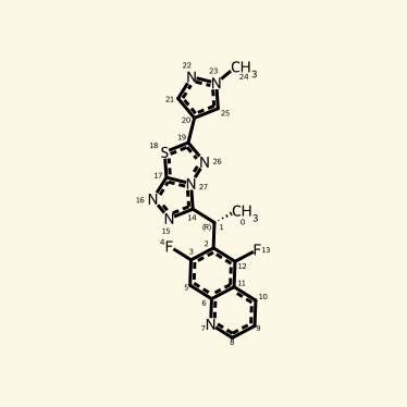 C[C@H](c1c(F)cc2ncccc2c1F)c1nnc2sc(-c3cnn(C)c3)nn12